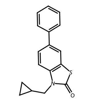 O=c1sc2cc(-c3ccccc3)ccc2n1CC1CC1